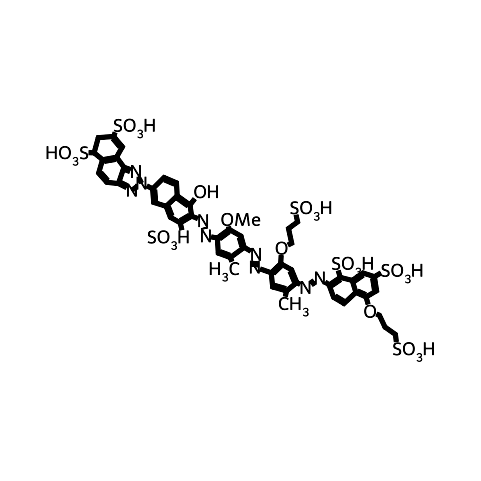 COc1cc(N=Nc2cc(C)c(N=Nc3ccc4c(OCCCS(=O)(=O)O)cc(S(=O)(=O)O)cc4c3S(=O)(=O)O)cc2OCCCS(=O)(=O)O)c(C)cc1N=Nc1c(S(=O)(=O)O)cc2cc(-n3nc4ccc5c(c4n3)C=C(S(=O)(=O)O)CC5S(=O)(=O)O)ccc2c1O